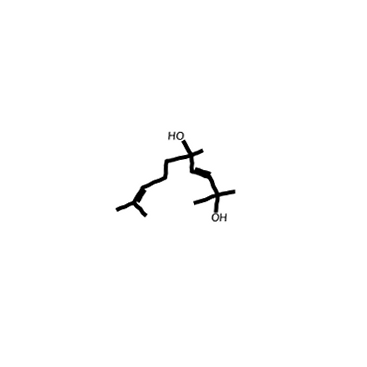 CC(C)=CCCC(C)(O)C=CC(C)(C)O